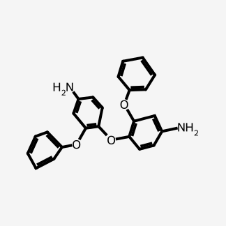 Nc1ccc(Oc2ccc(N)cc2Oc2ccccc2)c(Oc2ccccc2)c1